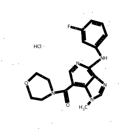 Cl.Cn1cnc2c(Nc3cccc(F)c3)ncc(C(=O)N3CCOCC3)c21